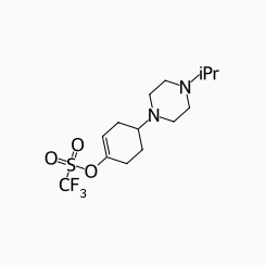 CC(C)N1CCN(C2CC=C(OS(=O)(=O)C(F)(F)F)CC2)CC1